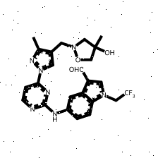 Cc1nn(-c2ccnc(Nc3ccc4c(c3)c(C=O)cn4CC(F)(F)F)n2)cc1CN1CC(C)(O)CO1